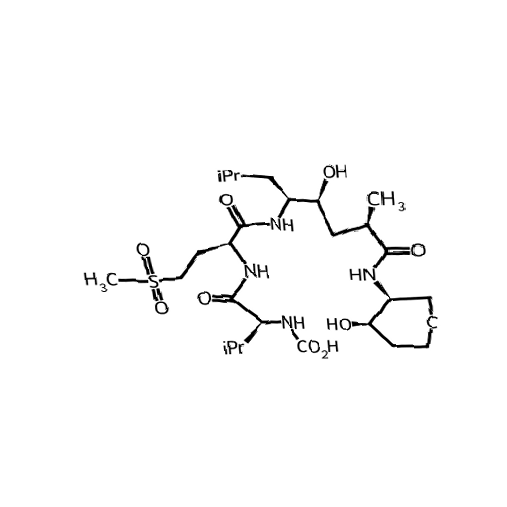 CC(C)C[C@H](NC(=O)[C@H](CCS(C)(=O)=O)NC(=O)[C@@H](NC(=O)O)C(C)C)[C@@H](O)C[C@@H](C)C(=O)N[C@H]1CCCC[C@H]1O